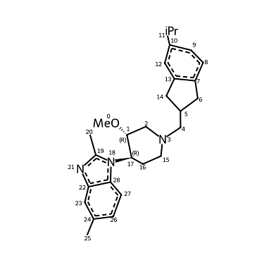 CO[C@@H]1CN(CC2Cc3ccc(C(C)C)cc3C2)CC[C@H]1n1c(C)nc2cc(C)ccc21